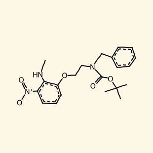 CNc1c(OCCN(Cc2ccccc2)C(=O)OC(C)(C)C)cccc1[N+](=O)[O-]